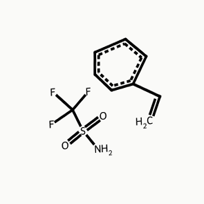 C=Cc1ccccc1.NS(=O)(=O)C(F)(F)F